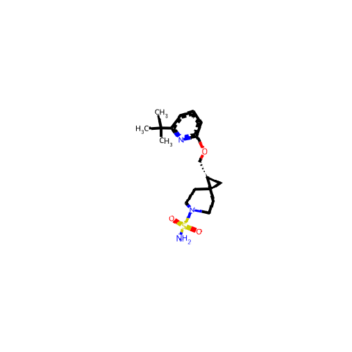 CC(C)(C)c1cccc(OC[C@@H]2CC23CCN(S(N)(=O)=O)CC3)n1